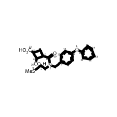 CSCCN(Cc1ccc(Oc2ccccc2)cc1)C(=O)C1CC(C(=O)O)C1C(=O)O